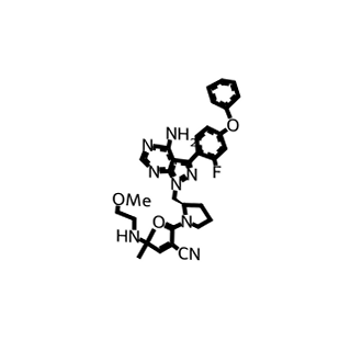 COCCNC(C)(C)/C=C(/C#N)C(=O)N1CCC[C@@H]1Cn1nc(-c2ccc(Oc3ccccc3)cc2F)c2c(N)ncnc21